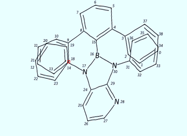 c1ccc(-c2cccc(-c3ccccc3)c2B2N(c3ccccc3)c3cccnc3N2c2ccccc2)cc1